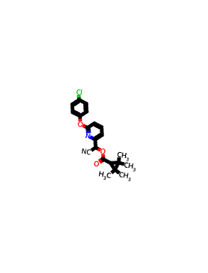 CC1(C)C(C(=O)OC(C#N)c2cccc(Oc3ccc(Cl)cc3)n2)C1(C)C